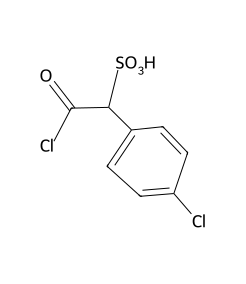 O=C(Cl)C(c1ccc(Cl)cc1)S(=O)(=O)O